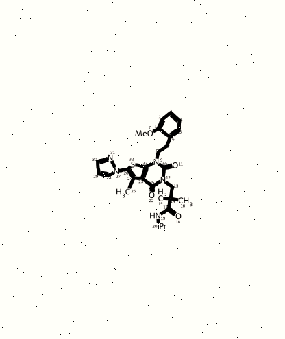 COc1ccccc1CCn1c(=O)n(CC(C)(C)C(=O)NC(C)C)c(=O)c2c(C)c(-n3cccn3)sc21